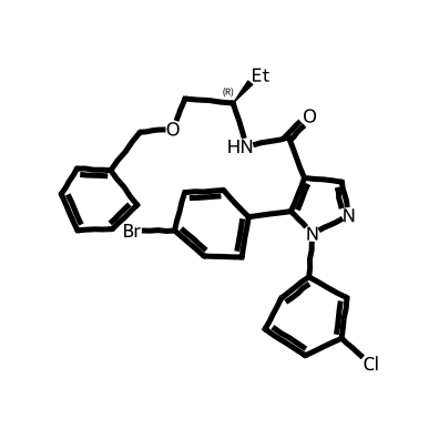 CC[C@H](COCc1ccccc1)NC(=O)c1cnn(-c2cccc(Cl)c2)c1-c1ccc(Br)cc1